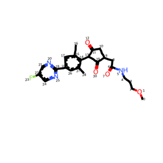 COCCCNC(=O)CC1CC(=O)C(c2c(C)cc(-c3ncc(F)cn3)cc2C)C1=O